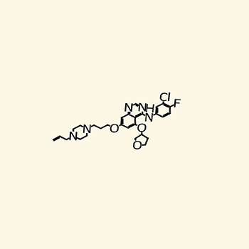 C=CCN1CCN(CCCOc2cc(OC3CCOC3)c3c(Nc4ccc(F)c(Cl)c4)ncnc3c2)CC1